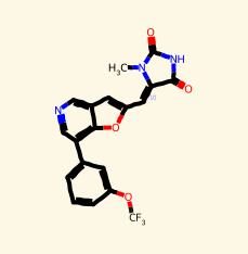 CN1C(=O)NC(=O)/C1=C/c1cc2cncc(-c3cccc(OC(F)(F)F)c3)c2o1